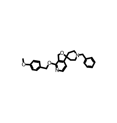 COc1ccc(COc2nccc3c2COC32CCN(Cc3ccccc3)CC2)cc1